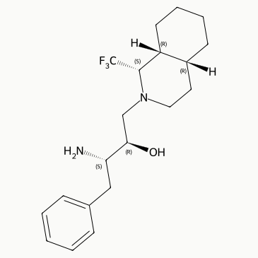 N[C@@H](Cc1ccccc1)[C@H](O)CN1CC[C@H]2CCCC[C@H]2[C@H]1C(F)(F)F